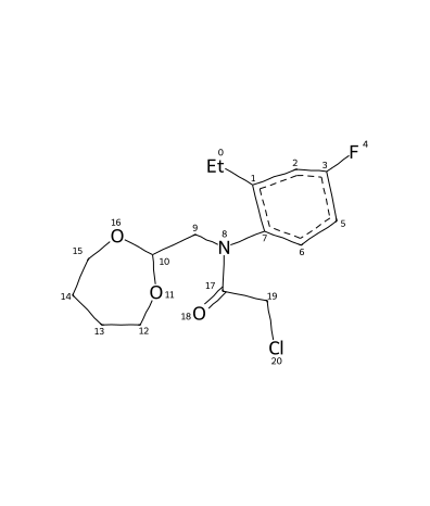 CCc1cc(F)ccc1N(CC1OCCCCO1)C(=O)CCl